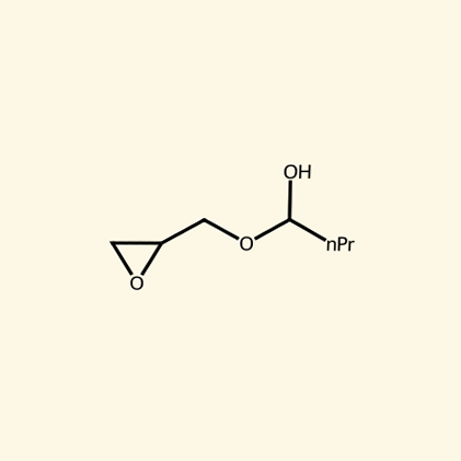 [CH2]CCC(O)OCC1CO1